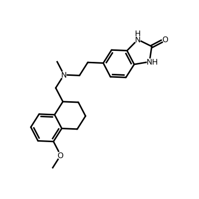 COc1cccc2c1CCCC2CN(C)CCc1ccc2[nH]c(=O)[nH]c2c1